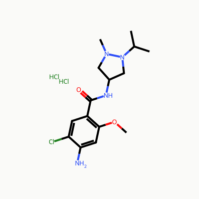 COc1cc(N)c(Cl)cc1C(=O)NC1CN(C)N(C(C)C)C1.Cl.Cl